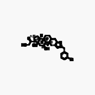 CCc1cccc(Cn2cc3c(n2)C=C2CC[C@H]4[C@@H]5C[C@@H](C)[C@](O)(C(=O)CO)[C@@]5(C)C[C@H](O)[C@]4(F)[C@@]2(C)C3)c1